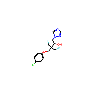 OC(Cn1cncn1)C(CF)(CF)COc1ccc(Cl)cc1